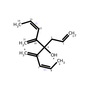 C=CCC(O)(C(=C)/C=C\C)C(=C)/C=C\C